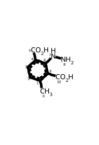 Cc1ccc(C(=O)O)c(NN)c1C(=O)O